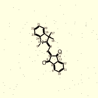 CN1C(=CC=C2C(=O)c3ccccc3C2=O)C(C)(C)c2ccccc21